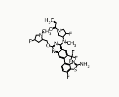 C=CC(=O)N1CC(F)C(N(C)c2nc(OCC3CC(F)CN3C)nc3cc(-c4ccc(F)c5sc(N)nc45)c(C(F)(F)F)cc23)C1